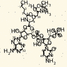 C=CCCC(=O)NC(COCC(=O)NC(C)(C)C)C(=O)O[C@H]1[C@@H](O)[C@H](n2cnc3c(N)ncnc32)O[C@@H]1COP(=O)(O)O[C@H]1[C@@H](O)[C@H](n2ccc(N)nc2=O)O[C@@H]1COP(=O)(O)O